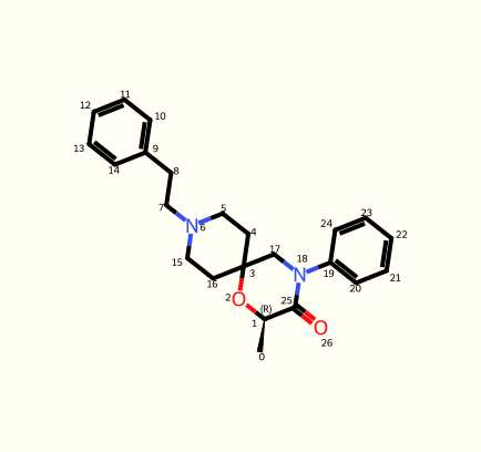 C[C@H]1OC2(CCN(CCc3ccccc3)CC2)CN(c2ccccc2)C1=O